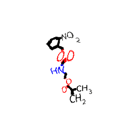 C=C(C)C(=O)OCCNC(=O)OCc1ccccc1[N+](=O)[O-]